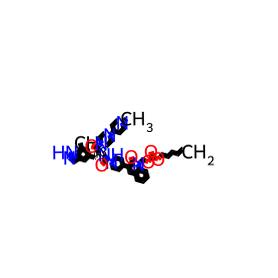 C=CCCCCOC(=O)OCn1c(=O)c(C2CCN(C(=O)N[C@H](Cc3cc(C)c4[nH]ncc4c3)C(=O)N3CCN(C4CCN(C)CC4)CC3)CC2)cc2ccccc21